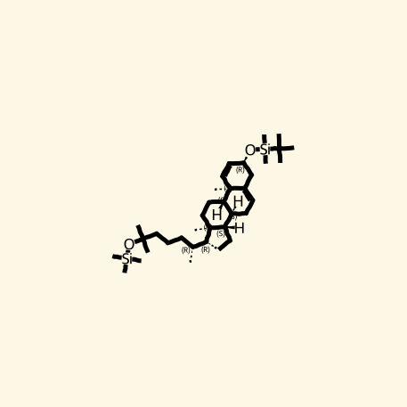 C[C@H](CCCC(C)(C)O[Si](C)(C)C)[C@H]1CC[C@H]2[C@@H]3CC=C4C[C@@H](O[Si](C)(C)C(C)(C)C)C=C[C@]4(C)[C@H]3CC[C@]12C